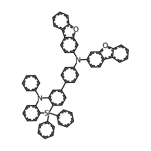 c1ccc(N2c3ccccc3[Si](c3ccccc3)(c3ccccc3)c3ccc(-c4ccc(N(c5ccc6c(c5)oc5ccccc56)c5ccc6c(c5)oc5ccccc56)cc4)cc32)cc1